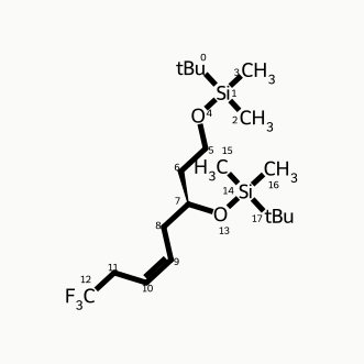 CC(C)(C)[Si](C)(C)OCC[C@H](C/C=C\CC(F)(F)F)O[Si](C)(C)C(C)(C)C